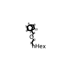 CCCCCCCCOCC12C=CC(CC1)C2